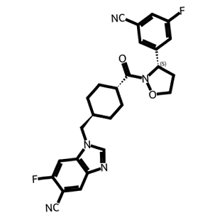 N#Cc1cc(F)cc([C@@H]2CCON2C(=O)[C@H]2CC[C@H](Cn3cnc4cc(C#N)c(F)cc43)CC2)c1